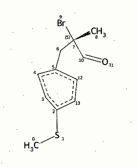 CSc1ccc(C[C@](C)(Br)C=O)cc1